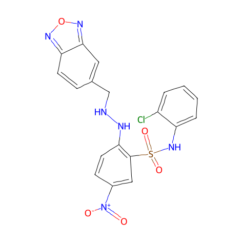 O=[N+]([O-])c1ccc(NNCc2ccc3nonc3c2)c(S(=O)(=O)Nc2ccccc2Cl)c1